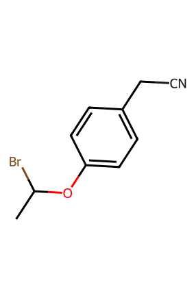 CC(Br)Oc1ccc(CC#N)cc1